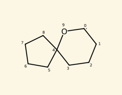 [CH]1CCCC2(CCCC2)O1